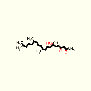 CC(=O)CC(=O)CCC(C)(O)CCCC(C)CCCC(C)CCCC(C)C